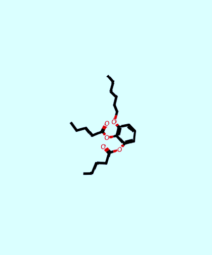 CCCCCCOc1cccc(OC(=O)CCCC)c1OC(=O)CCCC